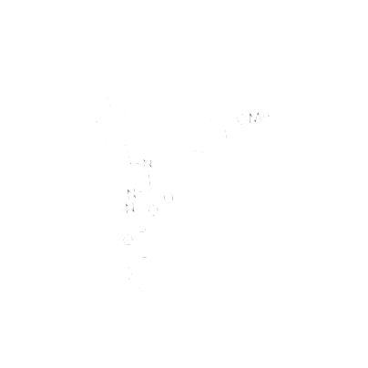 COc1ccc(CCN2C(=O)N(N(C)S(=O)(=O)Cc3ccccc3)CC2c2ccc(C)c(C)c2)cc1